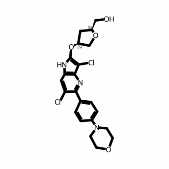 OC[C@@H]1C[C@H](Oc2[nH]c3cc(Cl)c(-c4ccc(N5CCOCC5)cc4)nc3c2Cl)CO1